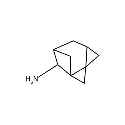 NC1C2CC3CC34CC14C2